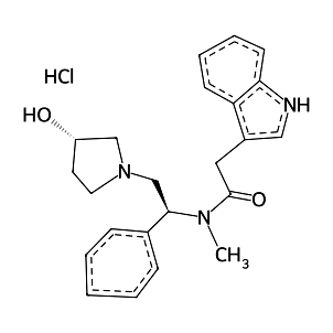 CN(C(=O)Cc1c[nH]c2ccccc12)[C@H](CN1CC[C@H](O)C1)c1ccccc1.Cl